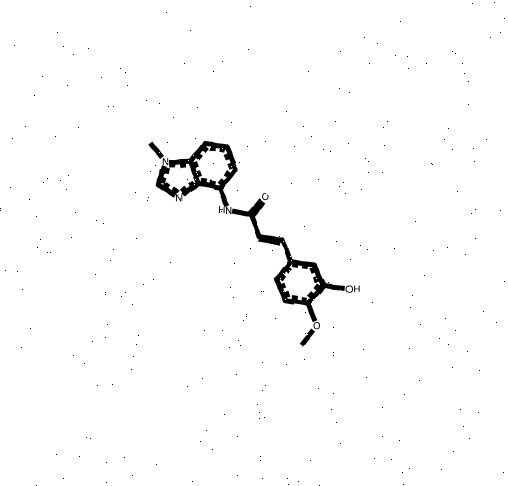 COc1ccc(C=CC(=O)Nc2cccc3c2ncn3C)cc1O